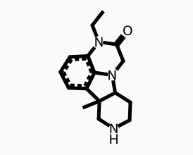 CCN1C(=O)CN2c3c1cccc3C1(C)CNCCC21